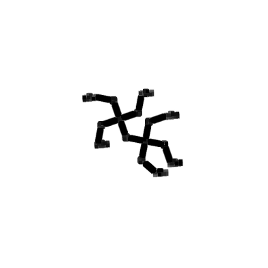 CCCCO[Si](OCCCC)(OCCCC)[O][Ti]([O]CCCC)([O]CCCC)[O]CCCC